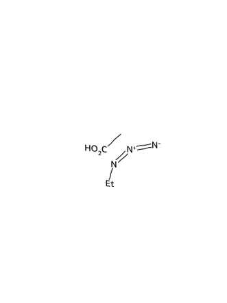 CC(=O)O.CCN=[N+]=[N-]